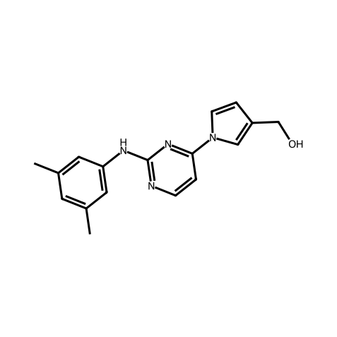 Cc1cc(C)cc(Nc2nccc(-n3ccc(CO)c3)n2)c1